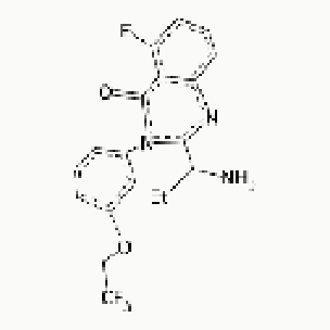 CCC(N)c1nc2cccc(F)c2c(=O)n1-c1cccc(OCC(F)(F)F)c1